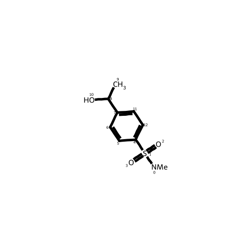 CNS(=O)(=O)c1ccc(C(C)O)cc1